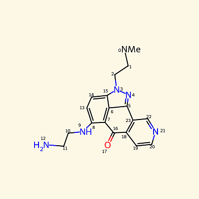 CNCCn1nc2c3c(c(NCCN)ccc31)C(=O)c1ccncc1-2